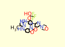 Cc1cnc(Nc2ccc(-c3ccc(N4CCOCC4)nc3)cc2)nc1Nc1ccc2oc(=O)[nH]c2c1.O=C(O)C(F)(F)F